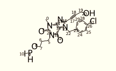 Cn1c(=O)n(CCCOPI)c(=O)c2c1nc(C#CCO)n2Cc1ccc(Cl)cc1